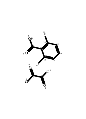 O=C(Cl)C(=O)Cl.O=C(O)c1c(F)cccc1I